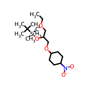 CCOCC(COC1CCC([N+](=O)[O-])CC1)O[Si](C)(C)C(C)(C)C